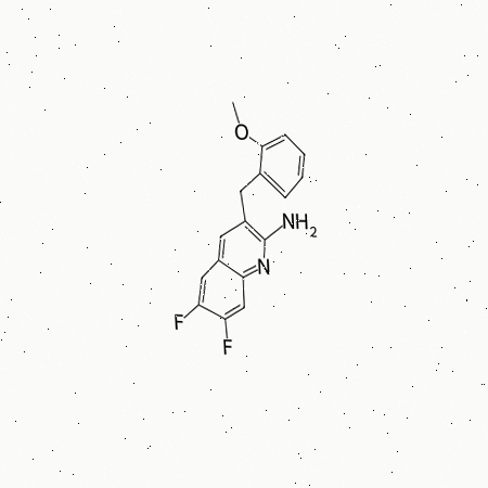 COc1ccccc1Cc1cc2cc(F)c(F)cc2nc1N